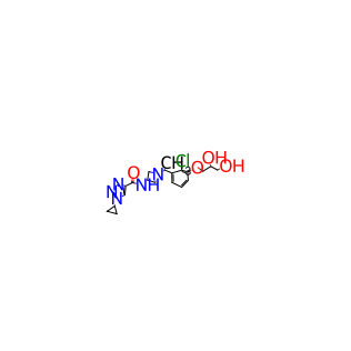 CC(c1cccc(OCC(O)CO)c1Cl)N1CC(NC(=O)c2cn(C3CC3)nn2)C1